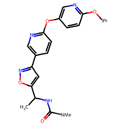 CNC(=O)NC(C)c1cc(-c2ccc(Oc3ccc(OC(C)C)nc3)nc2)no1